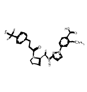 Cc1cc(-n2ccc(NC(=O)[C@H]3CCCN3C(=O)CCc3ccc(C(F)(F)F)cc3)n2)ccc1C(=O)O